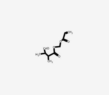 C=CC(=O)OCOC(=O)C(C)C(C)C=O